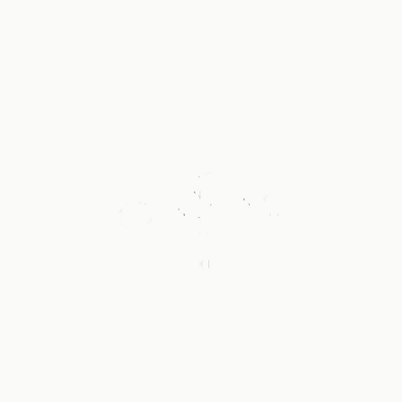 CC(C)(C)OC(=O)NC1(C(=O)NC(CCO)c2ccc(Cl)cc2)CCN(C(=O)OC(C)(C)C)CC1